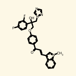 Cn1cc(C=CC(=O)c2ccc(OCC(O)(Cn3cncn3)c3ccc(F)cc3F)cc2)c2ccccc21